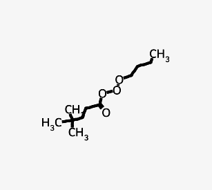 CCCCOOOC(=O)CCC(C)(C)C